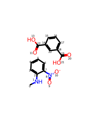 CNc1ccccc1[N+](=O)[O-].O=C(O)c1cccc(C(=O)O)c1